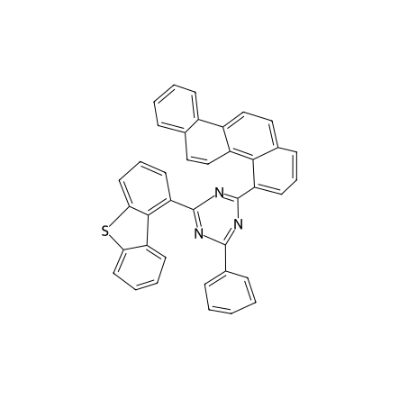 c1ccc(-c2nc(-c3cccc4ccc5c6ccccc6ccc5c34)nc(-c3cccc4sc5ccccc5c34)n2)cc1